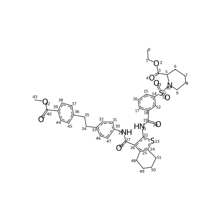 CCOC(=O)C1CCCCN1S(=O)(=O)c1cccc(C(=O)Nc2sc3c(c2C(=O)Nc2ccc(CCc4ccc(C(=O)OC)cc4)cc2)CCCC3)c1